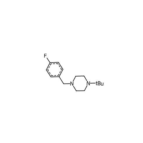 CC(C)(C)N1CCN(Cc2ccc(F)cc2)CC1